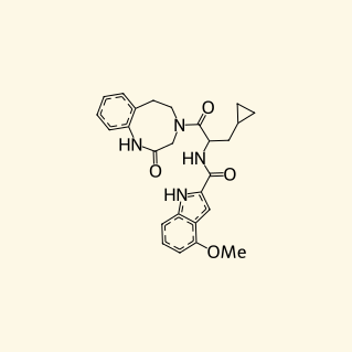 COc1cccc2[nH]c(C(=O)NC(CC3CC3)C(=O)N3CCc4ccccc4NC(=O)C3)cc12